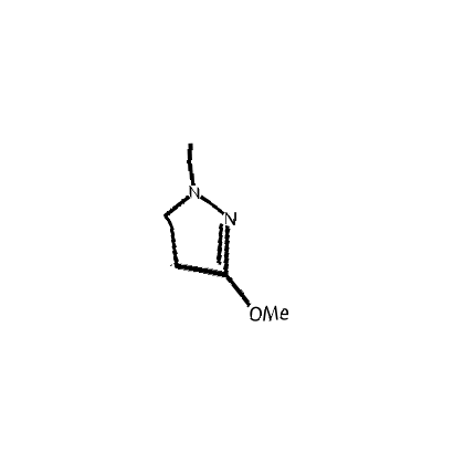 COC1=NN(C)C[CH]1